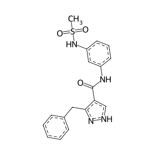 CS(=O)(=O)Nc1cccc(NC(=O)c2c[nH]nc2Cc2ccccc2)c1